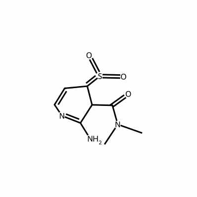 CN(C)C(=O)C1C(N)=NC=CC1=S(=O)=O